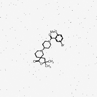 COc1ccc(Br)cc1C(=O)N1CCC(N2CCCC3(C2)CC(C)(C)OC3=O)CC1